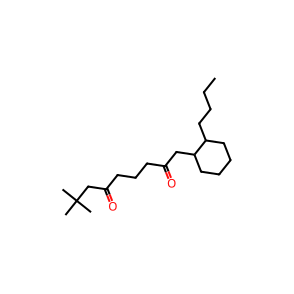 CCCCC1CCCCC1CC(=O)CCCC(=O)CC(C)(C)C